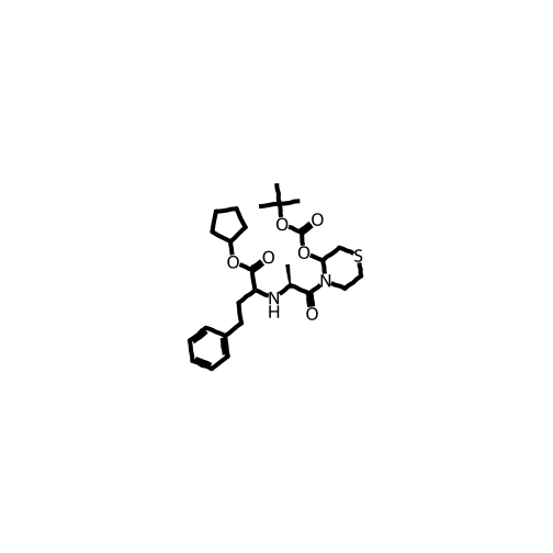 C[C@H](NC(CCc1ccccc1)C(=O)OC1CCCC1)C(=O)N1CCSCC1OC(=O)OC(C)(C)C